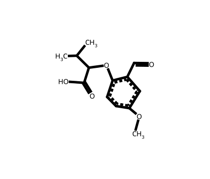 COc1ccc(OC(C(=O)O)C(C)C)c(C=O)c1